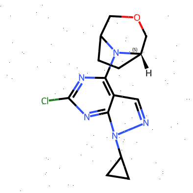 Clc1nc(N2C3CC[C@H]2COC3)c2cnn(C3CC3)c2n1